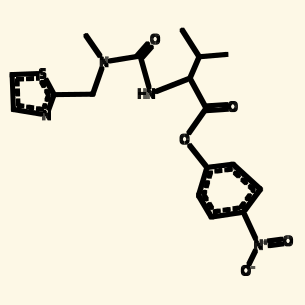 CC(C)C(NC(=O)N(C)Cc1nccs1)C(=O)Oc1ccc([N+](=O)[O-])cc1